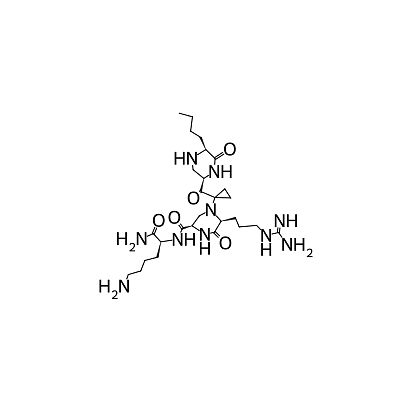 CCCC[C@@H]1NC[C@H](C(=O)C2(N3C[C@H](C(=O)N[C@@H](CCCCN)C(N)=O)NC(=O)[C@@H]3CCCNC(=N)N)CC2)NC1=O